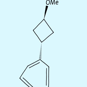 CO[C@H]1C[C@H](c2ccccc2)C1